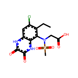 CCc1c(Cl)cc2[nH]c(=O)c(=O)[nH]c2c1N(CC(=O)O)S(C)(=O)=O